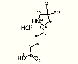 Cl.O=C(O)CCCC[C@H]1CC(F)(F)CN1